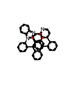 c1ccc(-c2nc3ccccc3n2-c2ccccc2-c2c3ccccc3c(-c3ccccc3-c3ccncc3)c3ccccc23)cc1